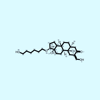 C[C@]12C/C(=C/O)C(=O)C[C@@H]1CC[C@@H]1[C@@H]2CC[C@]2(C)[C@@H](OCCCCCCO)CC[C@@H]12